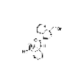 CC1(NC(=O)c2ccc(CBr)c3ccccc23)C=CC=NC1C(=O)O